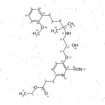 CCOC(=O)CCc1ccc(OC[C@@H](O)CNC(C)(C)CCCc2ccccc2OC)c(C#N)n1